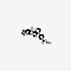 Cc1nc(S(C)(=O)=O)ccc1Nc1ncnc2c1OCCCN2C1CCN(C(=O)OC(C)(C)C)CC1